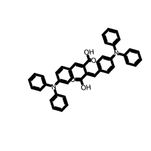 O=C(O)C(=C/c1ccc(N(c2ccccc2)c2ccccc2)cc1)/C(=C\c1ccc(N(c2ccccc2)c2ccccc2)cc1)C(=O)O